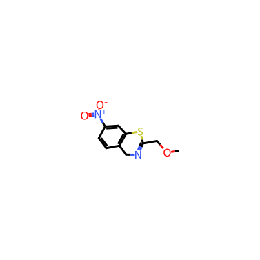 COCC1=NCc2ccc([N+](=O)[O-])cc2S1